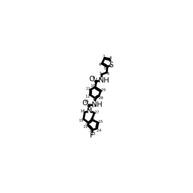 O=C(NCCc1cccs1)c1ccc(NC(=O)N2CCc3cc(F)ccc3C2)cc1